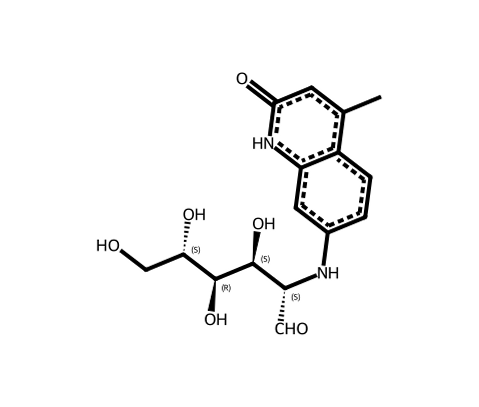 Cc1cc(=O)[nH]c2cc(N[C@H](C=O)[C@H](O)[C@@H](O)[C@@H](O)CO)ccc12